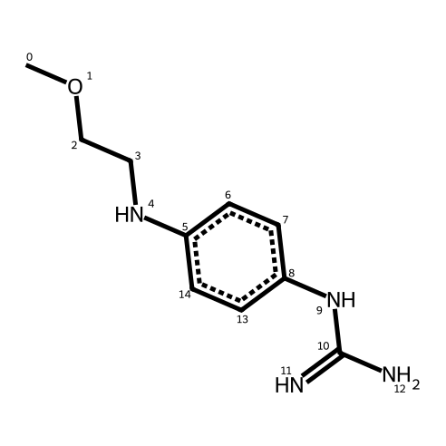 COCCNc1ccc(NC(=N)N)cc1